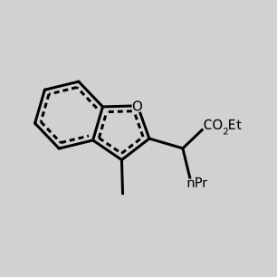 CCCC(C(=O)OCC)c1oc2ccccc2c1C